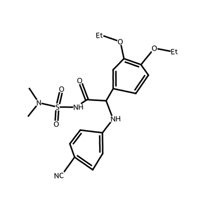 CCOc1ccc(C(Nc2ccc(C#N)cc2)C(=O)NS(=O)(=O)N(C)C)cc1OCC